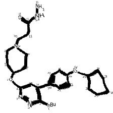 CCCCc1nnc(OC2CCN(CCC(=O)NN)CC2)cc1-c1ccc(OC2CCCCC2)cc1